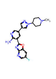 CN1CCC(n2cc(-c3cnc(N)c(-c4nc5ncc(F)cc5o4)c3)cn2)CC1